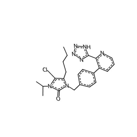 CCCCc1c(Cl)n(C(C)C)c(=O)n1Cc1ccc(-c2cccnc2-c2nnn[nH]2)cc1